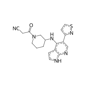 N#CCC(=O)N1CCCC(Nc2c(-c3ccsn3)cnc3[nH]ccc23)C1